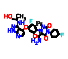 CC(CO)Nc1n[nH]c2nccc(Oc3ccc(N4[C@H](C(N)=O)C(=O)N(c5ccc(F)cc5)C(=O)N4C(C)C)cc3F)c12